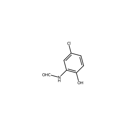 O=CNc1cc(Cl)ccc1O